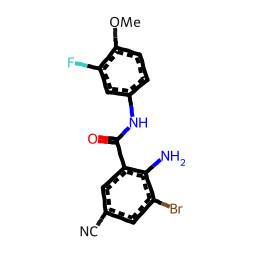 COc1ccc(NC(=O)c2cc(C#N)cc(Br)c2N)cc1F